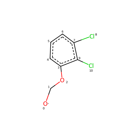 [O]COc1cccc(Cl)c1Cl